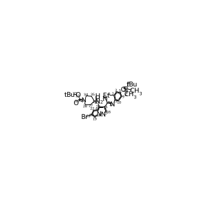 CCc1cc(O[Si](C)(C)C(C)(C)C)ccc1/N=C(\N)c1cnn2cc(Br)cc2c1NC1CCN(C(=O)OC(C)(C)C)CC1